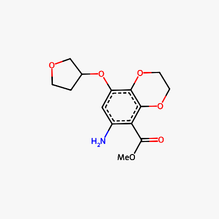 COC(=O)c1c(N)cc(OC2CCOC2)c2c1OCCO2